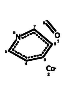 [C]=O.[Co].c1ccncc1